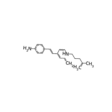 C=C/C=C(\C=C/NCCCC(=C)C)/C=C/c1ccc(N)cc1